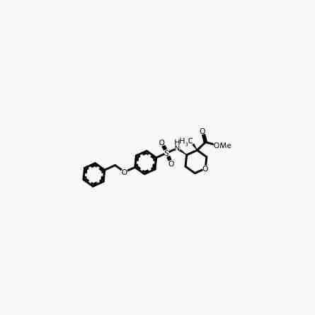 COC(=O)[C@]1(C)COCC[C@H]1NS(=O)(=O)c1ccc(OCc2ccccc2)cc1